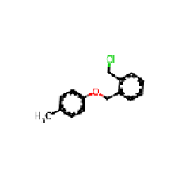 Cc1ccc(OCc2ccccc2CCl)cc1